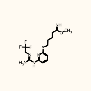 COC(=N)CCCCSc1cccc(NC(N)=NCC(F)(F)F)n1